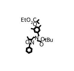 CCOC(=O)C(C)(C)Oc1c(C)cc(CN(CC(=O)OC(C)(C)C)Cc2nc(-c3ccccc3)oc2C)cc1C